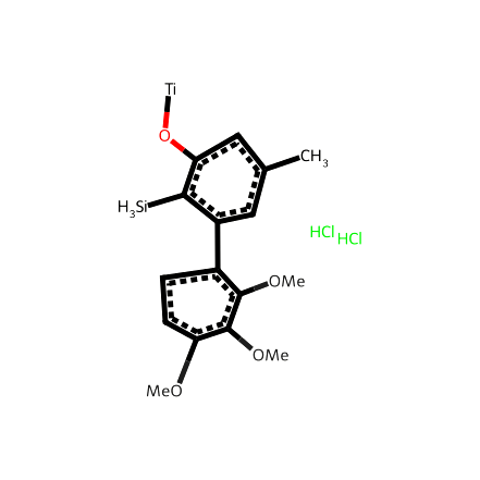 COc1ccc(-c2cc(C)cc([O][Ti])c2[SiH3])c(OC)c1OC.Cl.Cl